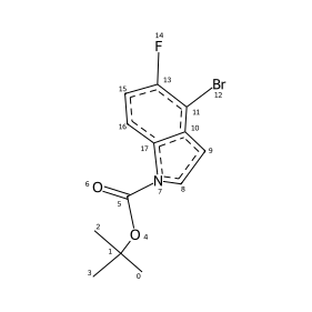 CC(C)(C)OC(=O)n1ccc2c(Br)c(F)ccc21